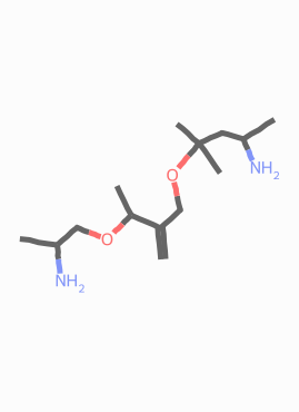 C=C(COC(C)(C)CC(C)N)C(C)OCC(C)N